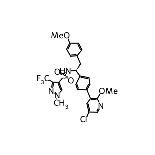 COc1ccc(C[C@H](NS(=O)(=O)c2cn(C)nc2C(F)(F)F)c2ccc(-c3cc(Cl)cnc3OC)cc2)cc1